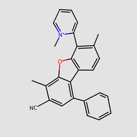 Cc1ccc2c(oc3c(C)c(C#N)cc(-c4ccccc4)c32)c1-c1cccc[n+]1C